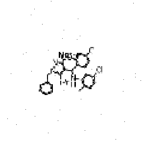 Cc1ccc(Cl)cc1NC(c1ccc(Cl)cc1C)c1c(C(=O)[O-])nn(Cc2ccccc2)c1C(C)C.[Na+]